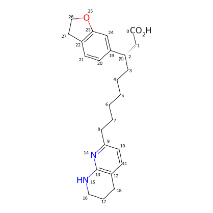 O=C(O)C[C@H](CCCCCCc1ccc2c(n1)NCCC2)c1ccc2c(c1)OCC2